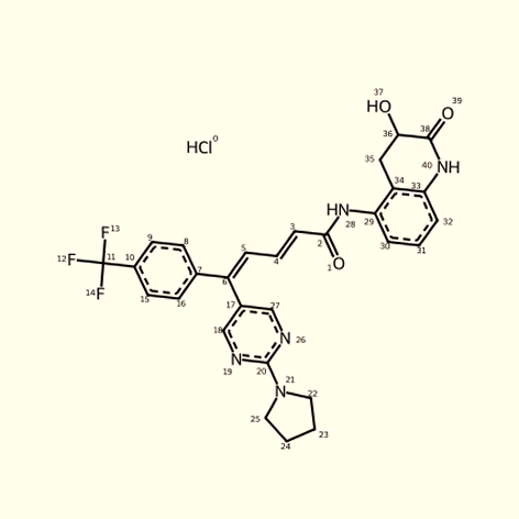 Cl.O=C(C=CC=C(c1ccc(C(F)(F)F)cc1)c1cnc(N2CCCC2)nc1)Nc1cccc2c1CC(O)C(=O)N2